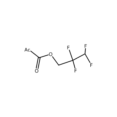 CC(=O)C(=O)OCC(F)(F)C(F)F